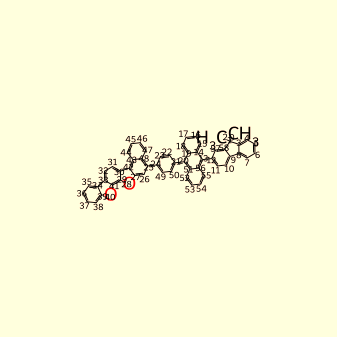 CC1(C)c2ccccc2-c2ccc(-c3c4ccccc4c(-c4ccc(-c5cc6oc7c(ccc8c9ccccc9oc87)c6c6ccccc56)cc4)c4ccccc34)cc21